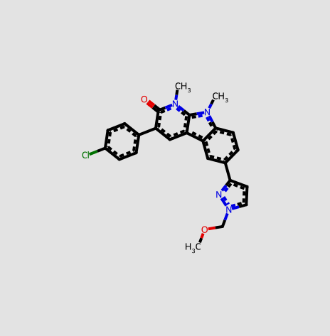 COCn1ccc(-c2ccc3c(c2)c2cc(-c4ccc(Cl)cc4)c(=O)n(C)c2n3C)n1